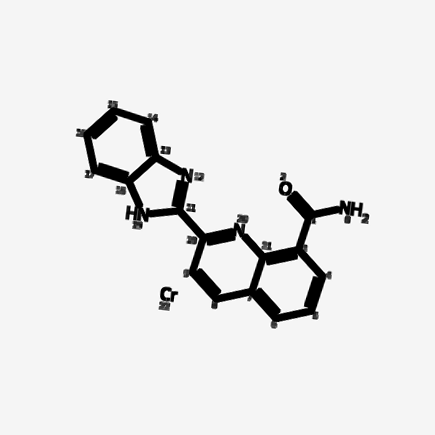 NC(=O)c1cccc2ccc(-c3nc4ccccc4[nH]3)nc12.[Cr]